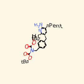 CCCCCc1cc(Cc2ccc(CN(C(=O)OC(C)(C)C)C(=O)OC(C)(C)C)cc2)c(C)nc1N